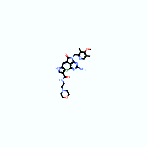 COc1c(C)cnc(CN2C(=O)/C(=C/c3cc(C(=O)NCCN4CCOCC4)c[nH]3)c3c(Cl)nc(N)nc32)c1C